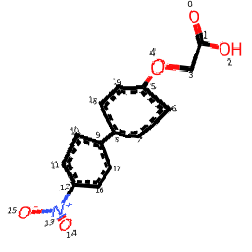 O=C(O)COc1ccc(-c2ccc([N+](=O)[O-])cc2)cc1